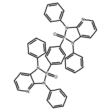 O=P1(c2ccc(P3(=O)N(c4ccccc4)c4cccnc4N3c3ccccc3)cc2)N(c2ccccc2)c2cccnc2N1c1ccccc1